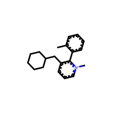 Cc1ccccc1-c1c(CC2CCCCC2)ccc[n+]1C